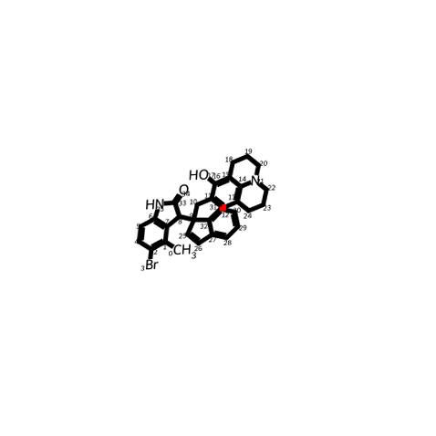 Cc1c(Br)ccc2c1C(C1(Cc3cc4c5c(c3O)CCCN5CCC4)C=Cc3ccccc31)C(=O)N2